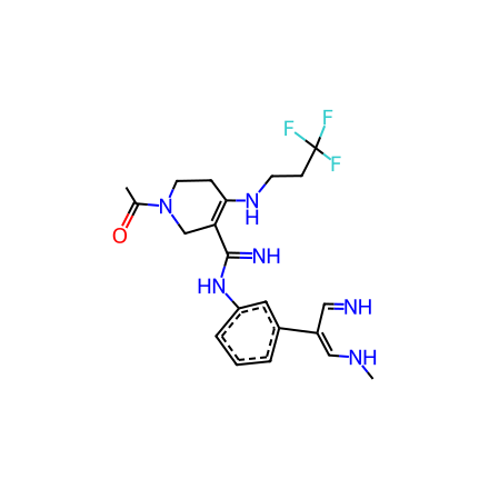 CN/C=C(\C=N)c1cccc(NC(=N)C2=C(NCCC(F)(F)F)CCN(C(C)=O)C2)c1